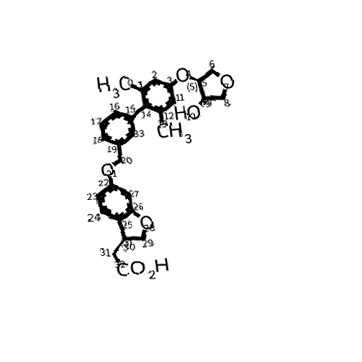 Cc1cc(O[C@H]2COC[C@H]2O)cc(C)c1-c1cccc(COc2ccc3c(c2)OC[C@H]3CC(=O)O)c1